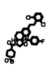 O=C(C1CCS(=O)(=O)CC1)N1CC[C@@]2(S(=O)(=O)c3ccc(F)cc3)c3ccc(CCc4c(Cl)cccc4Cl)cc3CC[C@@H]12